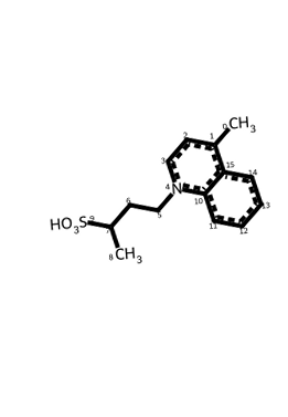 Cc1cc[n+](CCC(C)S(=O)(=O)O)c2ccccc12